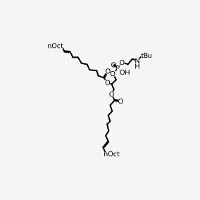 CCCCCCCC/C=C/CCCCCCCC(=O)OCC(COP(=O)(O)OCCNC(C)(C)C)OC(=O)CCCCCCC/C=C/CCCCCCCC